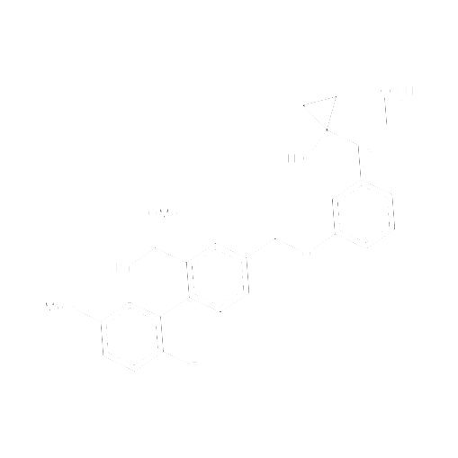 COc1ccc(F)c(-c2ccc(COc3cccc([C@@H](CC(=O)O)C4(C)CC4)c3)cc2[C@@H](OC)C(C)(C)C)c1